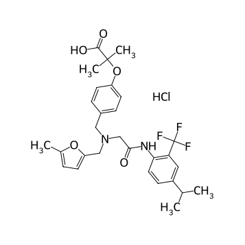 Cc1ccc(CN(CC(=O)Nc2ccc(C(C)C)cc2C(F)(F)F)Cc2ccc(OC(C)(C)C(=O)O)cc2)o1.Cl